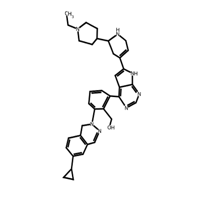 CCN1CCC(C2CC(c3cc4c(-c5cccc(N6Cc7ccc(C8CC8)cc7C=N6)c5CO)ncnc4[nH]3)=CCN2)CC1